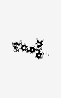 Cc1cc2nc(-c3cccnc3N)n(-c3ccc(CN4CCC(N(C)c5ccnc(C#N)n5)CC4)cc3)c2nc1C